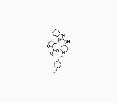 COC(=O)c1occc1Cn1c(NC2CCN(CCc3ccc(OC)cc3)CC2)nc2ccccc21